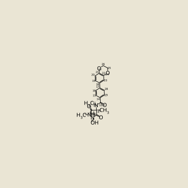 CNC(=O)[C@@](C)(C(=O)NO)N(C)C(=O)c1ccc(-c2ccc3c(c2)OCCO3)cc1